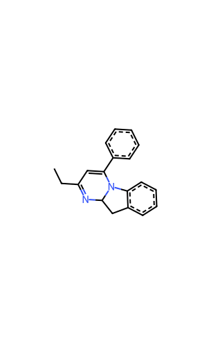 CCC1=NC2Cc3ccccc3N2C(c2ccccc2)=C1